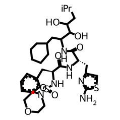 CC(C)CC(O)C(O)C(CC1CCCCC1)NC(=O)[C@H](Cc1csc(N)n1)NC(=O)[C@H](Cc1ccccc1)NS(=O)(=O)N1CCOCC1